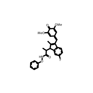 COC1=CC(=CC2=C(C)C(C(C)C(=O)NOc3ccccc3)c3cc(F)ccc32)C=C(OC)C1=O